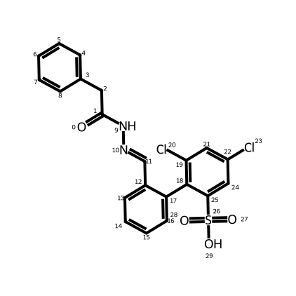 O=C(Cc1ccccc1)NN=Cc1ccccc1-c1c(Cl)cc(Cl)cc1S(=O)(=O)O